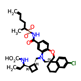 C=CCCC(C)S(=O)(=O)NC(=O)c1ccc2c(c1)N(C[C@@H]1CC[C@H]1C(C=C)NC(=O)O)C[C@@]1(CCCc3cc(Cl)ccc31)CO2